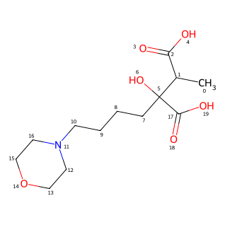 CC(C(=O)O)C(O)(CCCCN1CCOCC1)C(=O)O